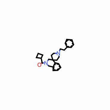 O=C(C1CCC1)N1Cc2ccccc2C2(CCN(CCc3ccccc3)CC2)C1